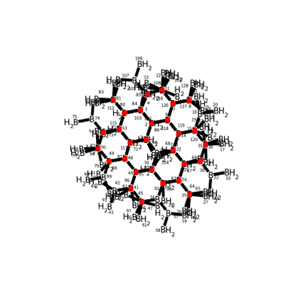 BBB(B(B)B)B(B(B(B)B)B(B)B)B(B(B(B)B)B(B)B)B(B(B(B(B)B)B(B)B)B(B(B)B)B(B)B)B(B(B(B(B(B)B)B(B)B)B(B(B)B)B(B)B)B(B(B(B)B)B(B)B)B(B(B)B)B(B)B)B(B(B(B(B(B)B)B(B)B)B(B(B)B)B(B)B)B(B(B(B)B)B(B)B)B(B(B)B)B(B)B)B(B(B(B(B)B)B(B)B)B(B(B)B)B(B)B)B(B(B(B)B)B(B)B)B(B(B)B)B(B)B